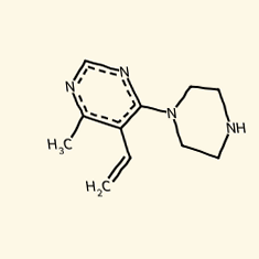 C=Cc1c(C)ncnc1N1CCNCC1